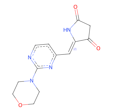 O=C1CC(=O)/C(=C/c2ccnc(N3CCOCC3)n2)N1